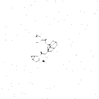 CN[C@@H](CC(=O)O)C(=O)OC12CC3CC(C1)CC([C@H](N)C(=O)N1C4C[C@H]4C[C@H]1C#N)(C3)C2